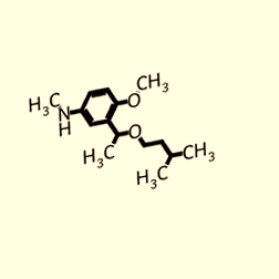 CNc1ccc(OC)c(C(C)OCCC(C)C)c1